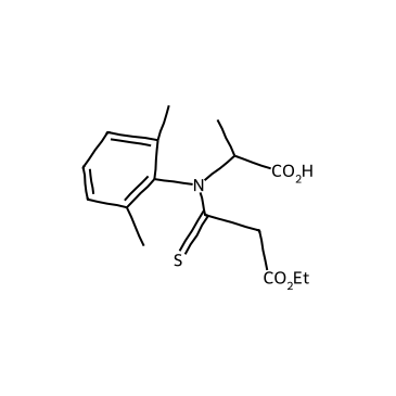 CCOC(=O)CC(=S)N(c1c(C)cccc1C)C(C)C(=O)O